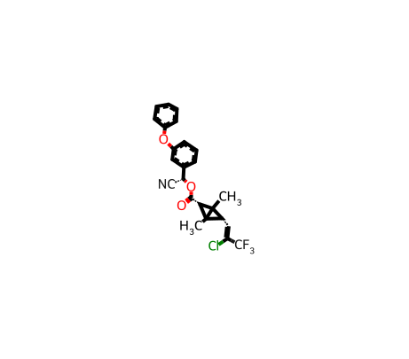 CC12[C@H](/C=C(\Cl)C(F)(F)F)C1(C)[C@@H]2C(=O)O[C@H](C#N)c1cccc(Oc2ccccc2)c1